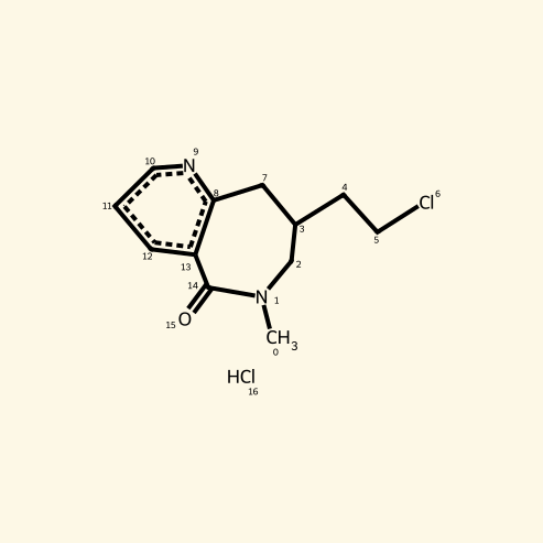 CN1CC(CCCl)Cc2ncccc2C1=O.Cl